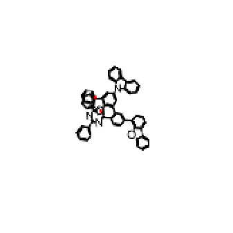 c1ccc(-c2nc(-c3ccccc3)nc(-c3ccc(-c4cccc5c4oc4ccccc45)cc3-c3cc(-n4c5ccccc5c5ccccc54)cc4c3oc3ccccc34)n2)cc1